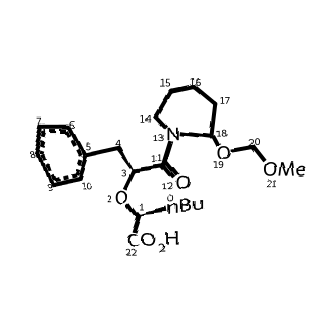 CCCC[C@H](O[C@@H](Cc1ccccc1)C(=O)N1CCCCC1OCOC)C(=O)O